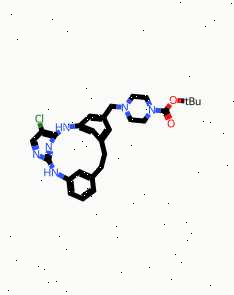 CC(C)(C)OC(=O)N1CCN(Cc2cc3cc(c2)Nc2nc(ncc2Cl)Nc2cccc(c2)CC3)CC1